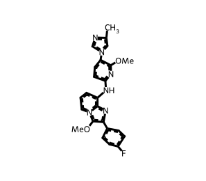 COc1nc(Nc2cccn3c(OC)c(-c4ccc(F)cc4)nc23)ccc1-n1cnc(C)c1